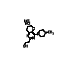 CN1CCN(C2=C3OCCCC3=NS(CCO)=N2)CC1.Cl.Cl